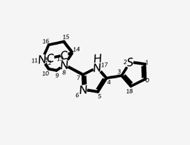 c1csc(-c2cnc(N3CCN4CCC3CC4)[nH]2)c1